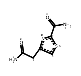 NC(=O)Cc1csc(C(N)=O)n1